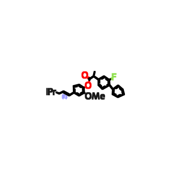 COc1cc(/C=C/CC(C)C)ccc1OC(=O)C(C)c1ccc(-c2ccccc2)c(F)c1